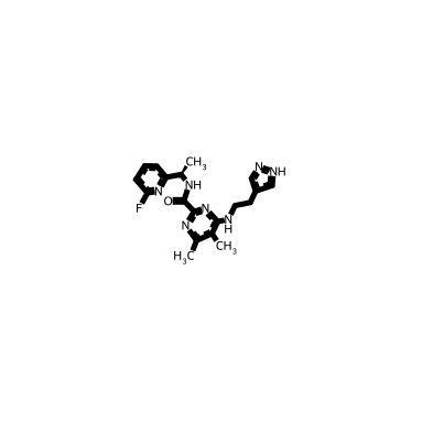 Cc1nc(C(=O)N[C@H](C)c2cccc(F)n2)nc(NCCc2cn[nH]c2)c1C